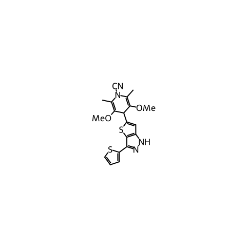 COC1=C(C)N(C#N)C(C)=C(OC)C1c1cc2[nH]nc(-c3cccs3)c2s1